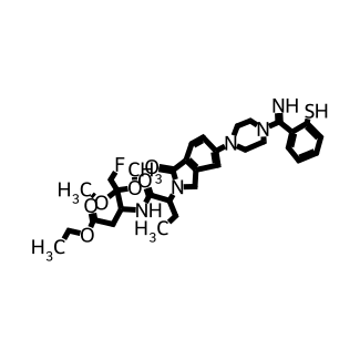 CCOC(=O)CC(NC(=O)C(CC)N1Cc2cc(N3CCN(C(=N)c4ccccc4S)CC3)ccc2C1=O)C(CF)(OC)OC